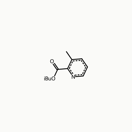 Cc1cccnc1C(=O)OCC(C)C